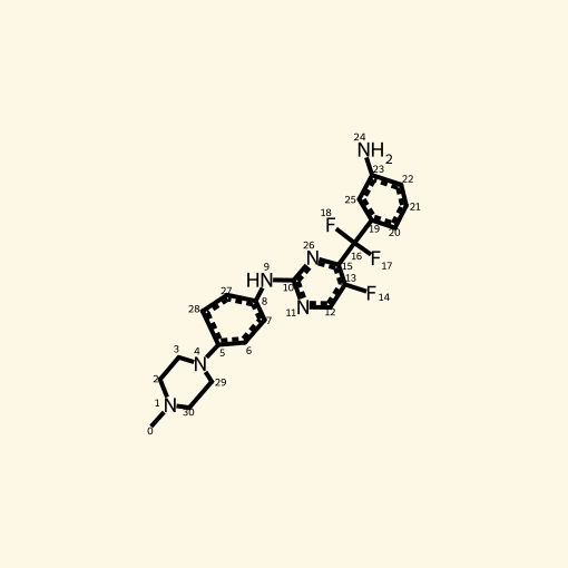 CN1CCN(c2ccc(Nc3ncc(F)c(C(F)(F)c4cccc(N)c4)n3)cc2)CC1